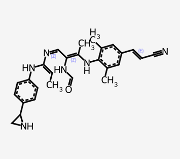 CC=C(/N=C\C(NC=O)=C(/C)Nc1c(C)cc(/C=C/C#N)cc1C)Nc1ccc(C2CN2)cc1